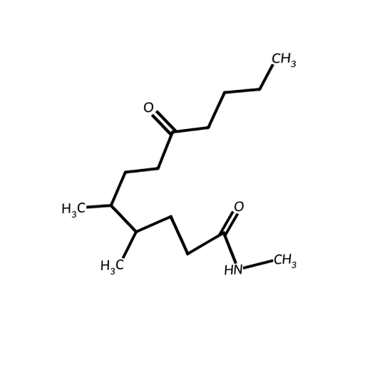 CCCCC(=O)CCC(C)C(C)CCC(=O)NC